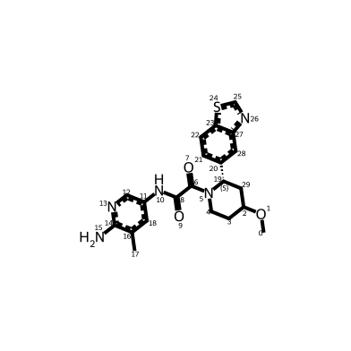 COC1CCN(C(=O)C(=O)Nc2cnc(N)c(C)c2)[C@H](c2ccc3scnc3c2)C1